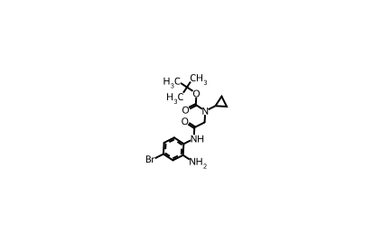 CC(C)(C)OC(=O)N(CC(=O)Nc1ccc(Br)cc1N)C1CC1